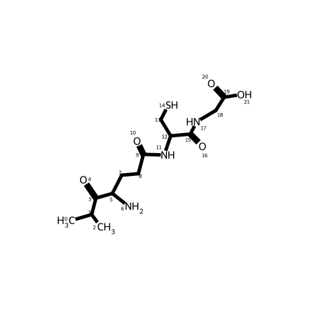 CC(C)C(=O)C(N)CCC(=O)NC(CS)C(=O)NCC(=O)O